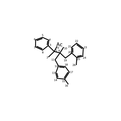 CC(=O)C(C)(c1ccccc1)C(C)(Cc1ccc(C)cc1)Cc1ccccc1C